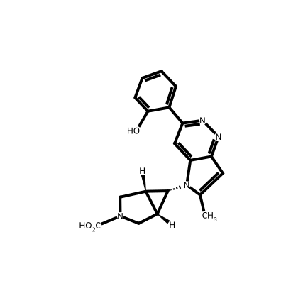 Cc1cc2nnc(-c3ccccc3O)cc2n1[C@@H]1[C@@H]2CN(C(=O)O)C[C@@H]21